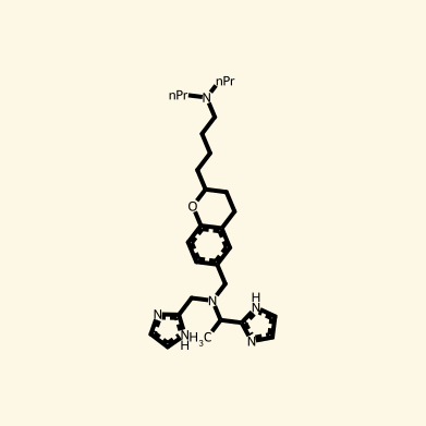 CCCN(CCC)CCCCC1CCc2cc(CN(Cc3ncc[nH]3)C(C)c3ncc[nH]3)ccc2O1